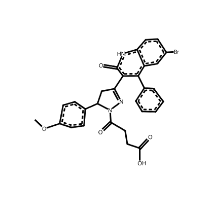 COc1ccc(C2CC(c3c(-c4ccccc4)c4cc(Br)ccc4[nH]c3=O)=NN2C(=O)CCC(=O)O)cc1